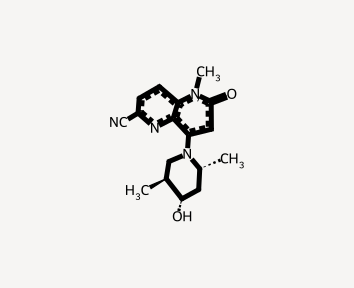 C[C@@H]1C[C@H](O)[C@@H](C)CN1c1cc(=O)n(C)c2ccc(C#N)nc12